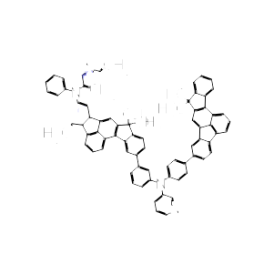 C=C/N=C\C(=C)N(/C=C/C1c2cc3c(c4cccc(c24)C1C=C)-c1cc(-c2cccc(N(c4ccc(-c5ccc6c(c5)-c5cc7c(c8cccc-6c58)-c5ccccc5C7(C)C)cc4)c4cccnc4)c2)ccc1C3(C)C)c1ccccc1